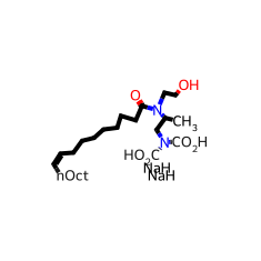 CCCCCCCC/C=C\CCCCCCCC(=O)N(CCO)C(C)CN(C(=O)O)C(=O)O.[NaH].[NaH]